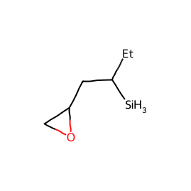 CCC([SiH3])CC1CO1